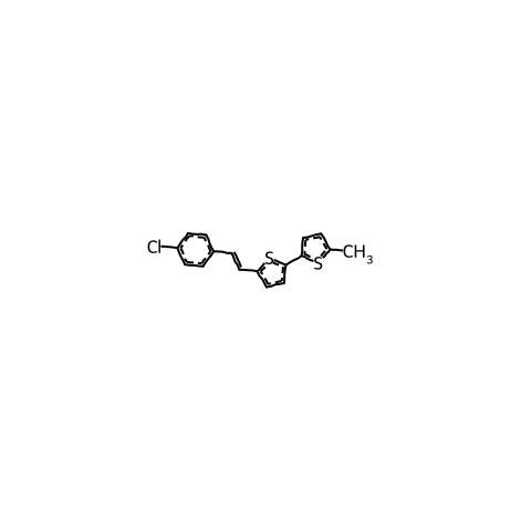 Cc1ccc(-c2ccc(C=Cc3ccc(Cl)cc3)s2)s1